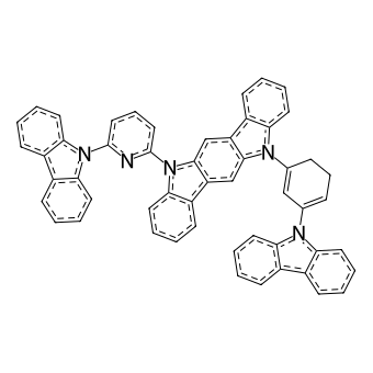 C1=C(n2c3ccccc3c3ccccc32)C=C(n2c3ccccc3c3cc4c(cc32)c2ccccc2n4-c2cccc(-n3c4ccccc4c4ccccc43)n2)CC1